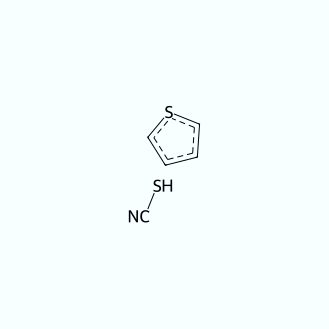 N#CS.c1ccsc1